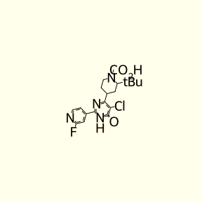 CC(C)(C)C1CC(c2nc(-c3ccnc(F)c3)[nH]c(=O)c2Cl)CCN1C(=O)O